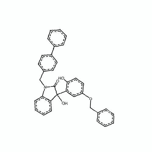 O=C1N(Cc2ccc(-c3ccccc3)cc2)c2ccccc2C1(O)c1cc(OCc2ccccc2)ccc1O